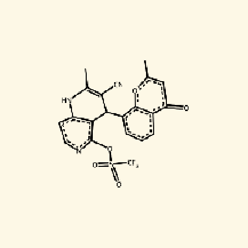 CC1=C(C#N)C(c2cccc3c(=O)cc(C)oc23)c2c(ccnc2OS(=O)(=O)C(F)(F)F)N1